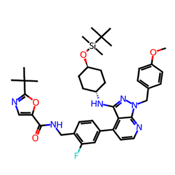 COc1ccc(Cn2nc(N[C@H]3CC[C@H](O[Si](C)(C)C(C)(C)C)CC3)c3c(-c4ccc(CNC(=O)c5cnc(C(C)(C)C)o5)c(F)c4)ccnc32)cc1